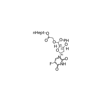 CCCCCCCOC(=O)COC1OPO[C@H]2C[C@H](n3cc(F)c(=O)[nH]c3=O)O[C@@H]12